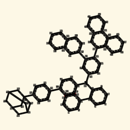 c1ccc(-c2ccccc2N(c2ccc(-c3ccc(C45CC6CC(CC(C6)C4)C5)cc3)cc2)c2ccc(-c3cc4ccccc4c4ccccc34)c(-c3ccc4ccccc4c3)c2)cc1